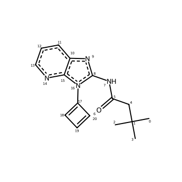 CC(C)(C)CC(=O)Nc1nc2cccnc2n1C1=CC=C1